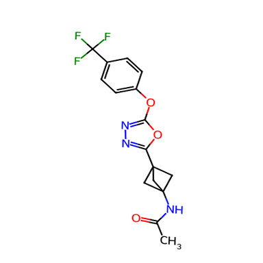 CC(=O)NC12CC(c3nnc(Oc4ccc(C(F)(F)F)cc4)o3)(C1)C2